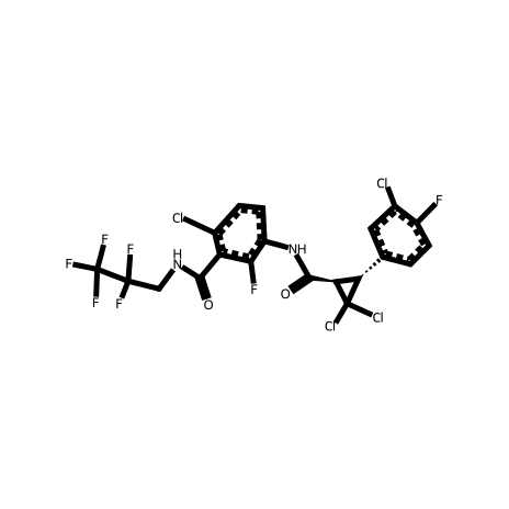 O=C(NCC(F)(F)C(F)(F)F)c1c(Cl)ccc(NC(=O)[C@H]2[C@H](c3ccc(F)c(Cl)c3)C2(Cl)Cl)c1F